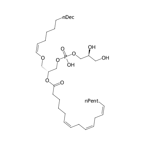 CCCCC/C=C\C/C=C\C/C=C\CCCCC(=O)O[C@H](CO/C=C\CCCCCCCCCCCCCC)COP(=O)(O)OC[C@@H](O)CO